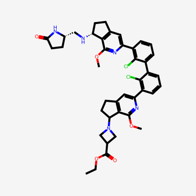 CCOC(=O)C1CN(C2CCc3cc(-c4cccc(-c5cccc(-c6cc7c(c(OC)n6)[C@H](NC[C@@H]6CCC(=O)N6)CC7)c5Cl)c4Cl)nc(OC)c32)C1